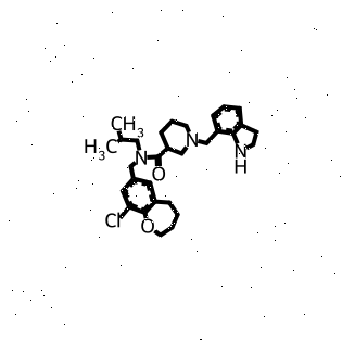 CC(C)CN(Cc1cc(Cl)c2c(c1)CCCCO2)C(=O)C1CCCN(Cc2cccc3c2NCC3)C1